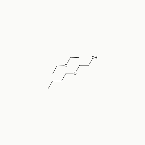 CCCCOCCO.CCOCC